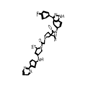 CC[C@@H]1C[C@H](Nc2ccc(-c3ncccn3)cc2)CN1C(=O)CN1CCC(CF)(C(=O)Nc2ccc3[nH]nc(-c4ccc(F)cc4)c3c2)C1